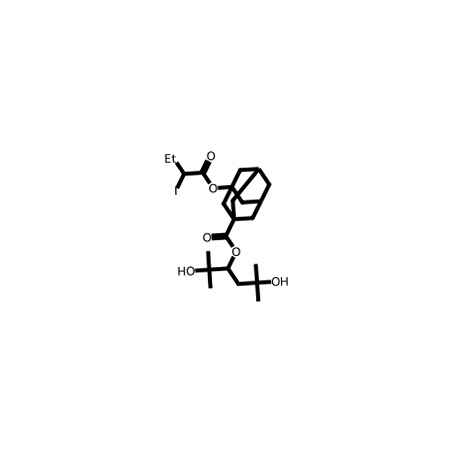 CCC(I)C(=O)OC12CC3CC(C1)CC(C(=O)OC(CC(C)(C)O)C(C)(C)O)(C3)C2